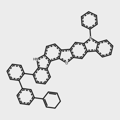 C1=CC(c2cccc(-c3ccccc3-c3cccc4c3[nH]c3ccc5c6cc7c(cc6oc5c34)c3ccccc3n7-c3ccccc3)c2)=CCC1